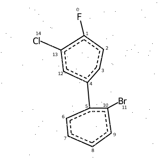 Fc1ccc(-c2ccccc2Br)cc1Cl